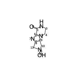 O=C1NCCn2c1nc1c2CN(O)C1